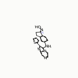 O/N=C1\CCc2cc(Nc3c(-c4cccs4)nc4cnccn34)ccc21